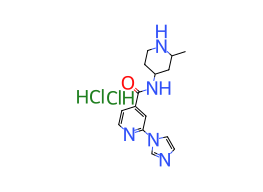 CC1CC(NC(=O)c2ccnc(-n3ccnc3)c2)CCN1.Cl.Cl